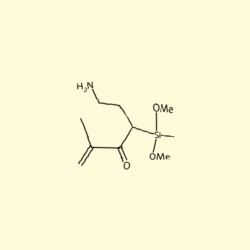 C=C(C)C(=O)C(CCN)[Si](C)(OC)OC